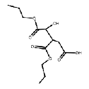 CCCOC(=O)C(O)C(CC(=O)O)C(=O)OCCC